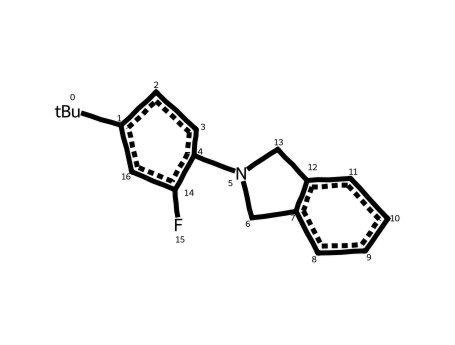 CC(C)(C)c1ccc(N2Cc3ccccc3C2)c(F)c1